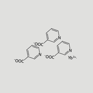 O=C([O-])c1cccnc1.O=C([O-])c1cccnc1.O=C([O-])c1cccnc1.[Yb+3]